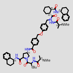 CN[C@@H](C)C(=O)NC(C(=O)N1C[C@@H](NC(=O)c2ccc(COc3ccc(CN(NC(=O)[C@H](C)NC)C(=O)[C@@H]4CCCC[C@H]4C(=O)N[C@@H]4CCCc5ccccc54)cc3)cc2)CC1C(=O)N[C@@H]1CCCc2ccccc21)C(C)(C)C